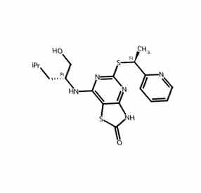 CC(C)C[C@H](CO)Nc1nc(S[C@@H](C)c2ccccn2)nc2[nH]c(=O)sc12